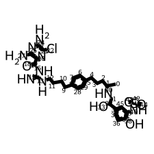 CC(CCCc1ccc(CCCCNC(=N)NC(=O)c2nc(Cl)c(N)nc2N)cc1)NC[C@H](O)c1ccc(O)c(NS(C)(=O)=O)c1